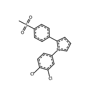 CS(=O)(=O)c1ccc(-c2cccn2-c2ccc(Cl)c(Cl)c2)cc1